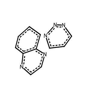 c1ccc2nccnc2c1.c1cnnnc1